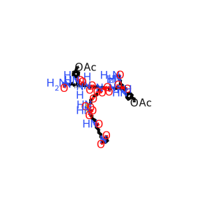 CC(=O)OCc1ccc(NC(=O)[C@H](CCCNC(N)=O)NC(=O)CNC(=O)OCCN(CCOC(=O)NCC(=O)N[C@@H](CCCNC(N)=O)C(=O)Nc2ccc(COC(C)=O)cc2)C(=O)OCCOCCNS(=O)(=O)NC(=O)OCCCNC(=O)CCCCCN2C(=O)C=CC2=O)cc1